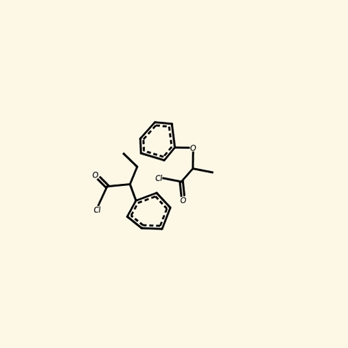 CC(Oc1ccccc1)C(=O)Cl.CCC(C(=O)Cl)c1ccccc1